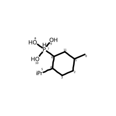 CC1CCC(C(C)C)C([PH](O)(O)O)C1